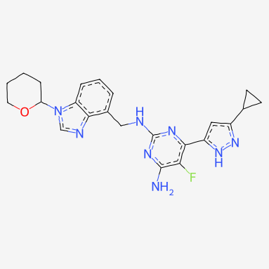 Nc1nc(NCc2cccc3c2ncn3C2CCCCO2)nc(-c2cc(C3CC3)n[nH]2)c1F